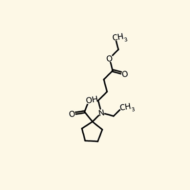 CCOC(=O)CCCN(CC)C1(C(=O)O)CCCC1